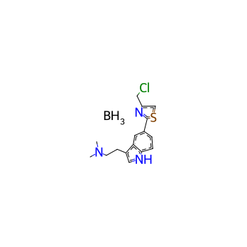 B.CN(C)CCc1c[nH]c2ccc(-c3nc(CCl)cs3)cc12